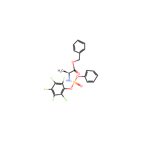 C[C@H](N[P@@](=O)(Oc1ccccc1)Oc1c(F)c(F)c(F)c(F)c1F)C(=O)OCc1ccccc1